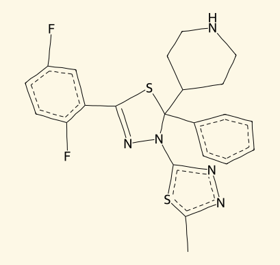 Cc1nnc(N2N=C(c3cc(F)ccc3F)SC2(c2ccccc2)C2CCNCC2)s1